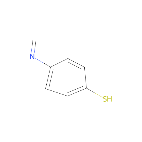 C=Nc1ccc(S)cc1